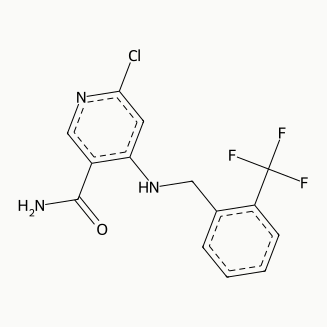 NC(=O)c1cnc(Cl)cc1NCc1ccccc1C(F)(F)F